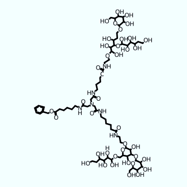 O=C(CCCCCNC(=O)CN(CC(=O)NCCCCCC(=O)NCCOC1OC(COC(O)C(O)C(O)C(O)CCO)C(O)C(OC2OC(CO)C(O)C(O)C2O)C1O)CC(=O)NCCCCCC(=O)OCc1ccccc1)NCCOC(O)C(O)C(OC(O)C(O)C(O)C(O)CCO)C(O)CCOC1OC(CO)C(O)C(O)C1O